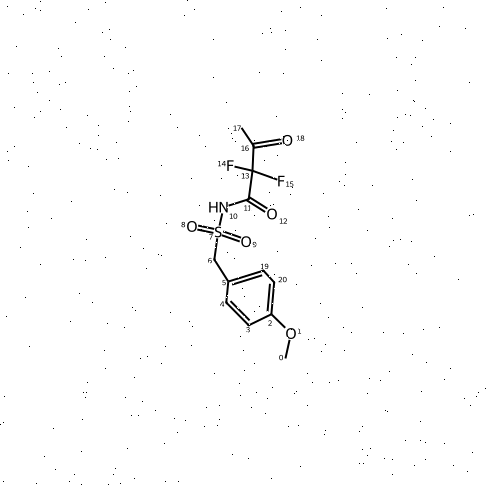 COc1ccc(CS(=O)(=O)NC(=O)C(F)(F)C(C)=O)cc1